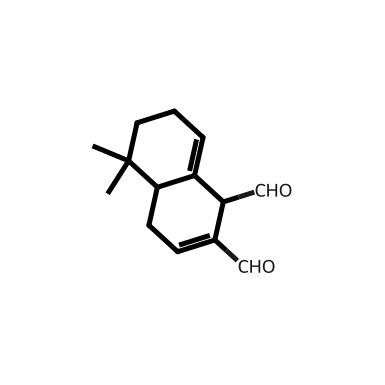 CC1(C)CCC=C2C(C=O)C(C=O)=CCC21